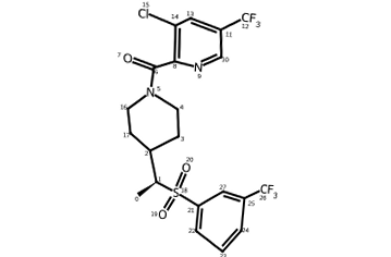 C[C@@H](C1CCN(C(=O)c2ncc(C(F)(F)F)cc2Cl)CC1)S(=O)(=O)c1cccc(C(F)(F)F)c1